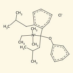 CC[N+](C)(C)C(CC(C)C)(Oc1ccccc1)c1ccccc1CC(C)C.[Cl-]